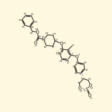 Cc1c(Oc2ccc([C@H]3CO[S@@](=O)OC3)cc2)ncnc1OC1CCN(C(=O)OCc2ccccc2)CC1